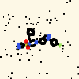 Cn1cc(S(=O)(=O)N2CCN(c3ccc4c(cnn4-c4ccc(F)cc4)c3)CC2Cc2ccccc2)cn1